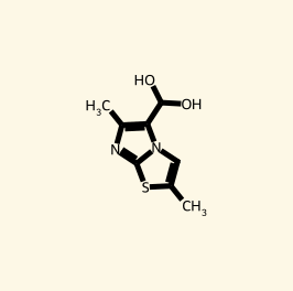 Cc1cn2c(C(O)O)c(C)nc2s1